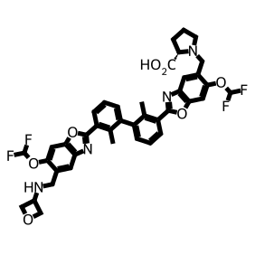 Cc1c(-c2nc3cc(CNC4COC4)c(OC(F)F)cc3o2)cccc1-c1cccc(-c2nc3cc(CN4CCC[C@H]4C(=O)O)c(OC(F)F)cc3o2)c1C